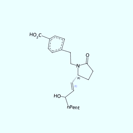 CCCCCC(O)/C=C/[C@H]1CCC(=O)N1CCc1ccc(C(=O)O)cc1